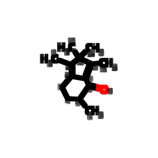 CC1=C2CCC(C)C(=O)C2=C(C)C1(C)C